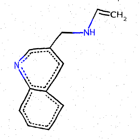 C=CNCc1cnc2ccccc2c1